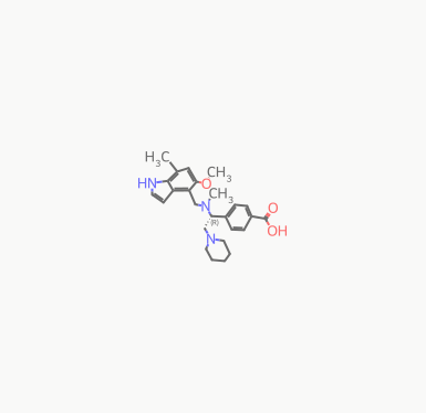 COc1cc(C)c2[nH]ccc2c1CN(C)[C@@H](CN1CCCCC1)c1ccc(C(=O)O)cc1